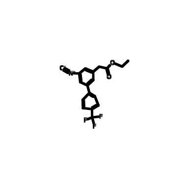 [C-]#[N+]c1cc(CC(=O)OCC)cc(-c2ccc(C(F)(F)F)cc2)c1